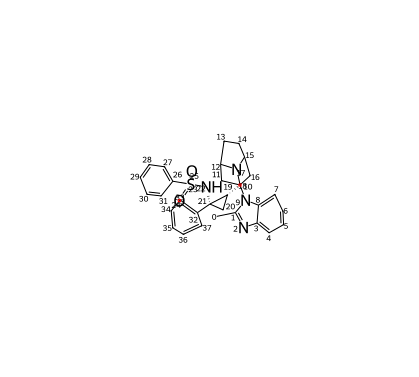 Cc1nc2ccccc2n1C1CC2CCC(C1)N2C[C@@H]1C[C@@]1(NS(=O)(=O)c1ccccc1)c1ccccc1